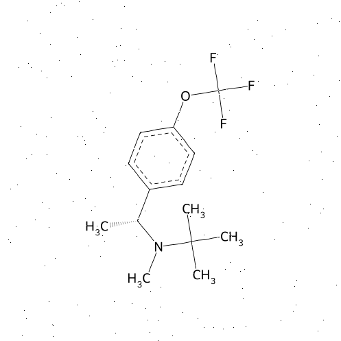 C[C@H](c1ccc(OC(F)(F)F)cc1)N(C)C(C)(C)C